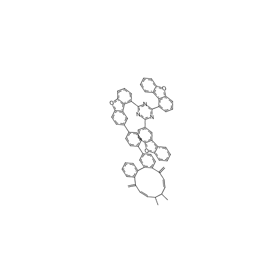 C=C1/C=C\C(C)C(C)/C=C\C(=C)c2ccc(-c3ccc(-c4ccc5oc6cccc(-c7nc(-c8ccc9oc%10ccccc%10c9c8)nc(-c8cccc9oc%10ccccc%10c89)n7)c6c5c4)cc3)cc2-c2ccccc21